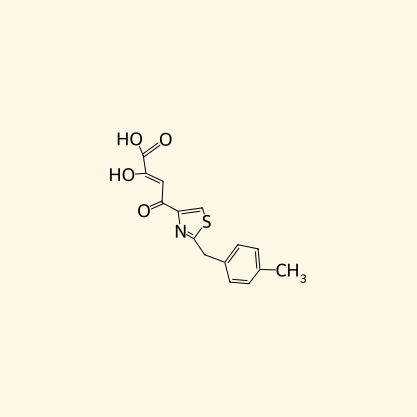 Cc1ccc(Cc2nc(C(=O)C=C(O)C(=O)O)cs2)cc1